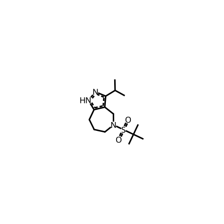 CC(C)c1n[nH]c2c1CN(S(=O)(=O)C(C)(C)C)CCC2